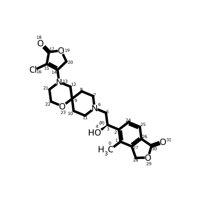 Cc1c([C@@H](O)CN2CCC3(CC2)CN(C2=C(Cl)C(=O)OC2)CCO3)ccc2c1COC2=O